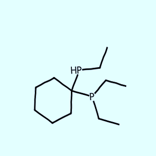 CCPC1(P(CC)CC)CCCCC1